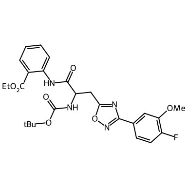 CCOC(=O)c1ccccc1NC(=O)C(Cc1nc(-c2ccc(F)c(OC)c2)no1)NC(=O)OC(C)(C)C